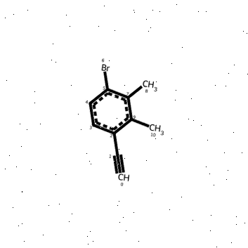 C#Cc1ccc(Br)c(C)c1C